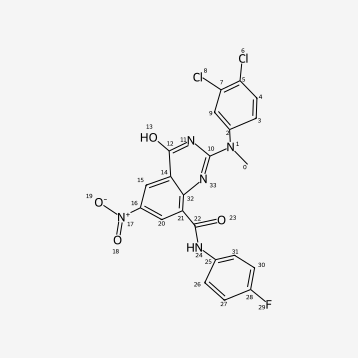 CN(c1ccc(Cl)c(Cl)c1)c1nc(O)c2cc([N+](=O)[O-])cc(C(=O)Nc3ccc(F)cc3)c2n1